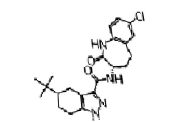 CC(C)(C)C1CCc2[nH]nc(C(=O)N[C@H]3CCc4cc(Cl)ccc4NC3=O)c2C1